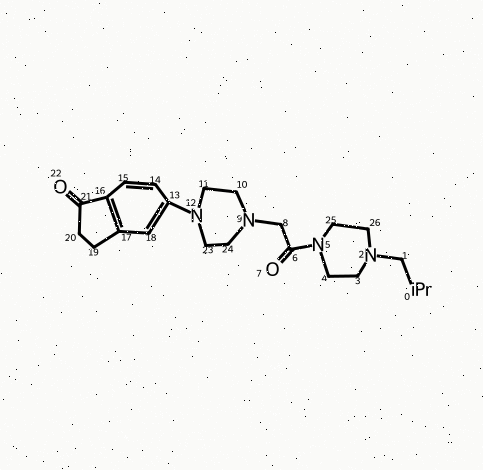 CC(C)CN1CCN(C(=O)CN2CCN(c3ccc4c(c3)CCC4=O)CC2)CC1